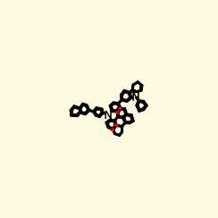 C1=Cc2c(c3ccc(-c4ccc(N(c5ccc(-c6ccc7ccccc7c6)cc5)c5ccccc5-c5cccc6cccc(C7CCCCC7)c56)cc4)cc3n2-c2ccccc2)CC1